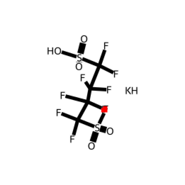 O=S(=O)(O)C(F)(F)C(F)(F)C(F)(F)C(F)(F)S(=O)(=O)F.[KH]